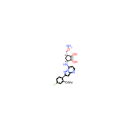 COc1cc(F)ccc1-c1cc2nccc(N[C@@H]3C[C@H](CON)[C@@H](O)[C@H]3O)n2n1